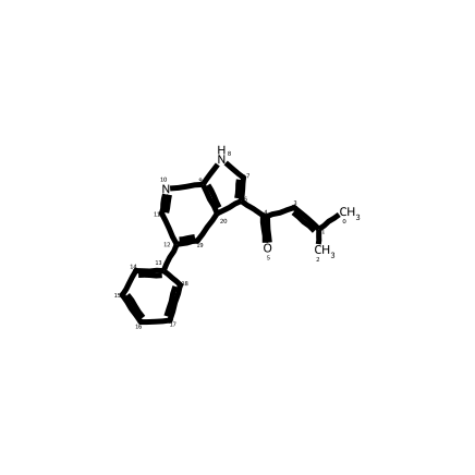 CC(C)=CC(=O)c1c[nH]c2ncc(-c3ccccc3)cc12